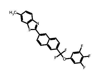 Cc1ccc2nc(-c3ccc4cc(C(F)(F)Oc5cc(F)c(F)c(F)c5)ccc4c3)sc2c1